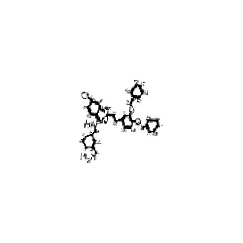 NCC1CCCC(CNc2nc(/C=C/c3ccc(OCc4ccccc4)c(OCc4ccccc4)c3)nc3cc(Cl)ccc23)C1